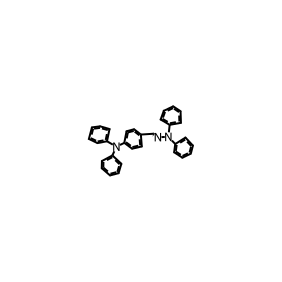 C(=NN(c1ccccc1)c1ccccc1)c1ccc(N(c2ccccc2)c2ccccc2)cc1